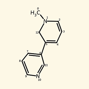 CN1C=CC=C(c2cccnc2)C1